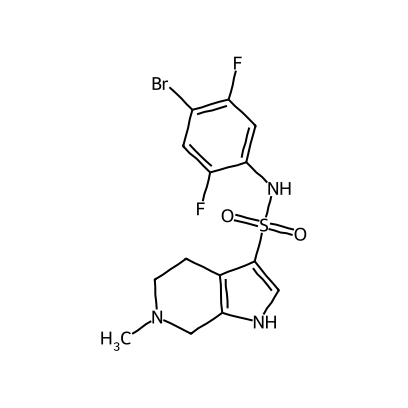 CN1CCc2c(S(=O)(=O)Nc3cc(F)c(Br)cc3F)c[nH]c2C1